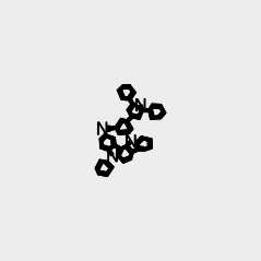 N#Cc1cc(-c2cc(-c3ccccc3)nc(-c3ccccc3)c2)cc(-n2c3ccccc3c3ccc4c(c5ccccc5n4-c4ccccc4)c32)c1